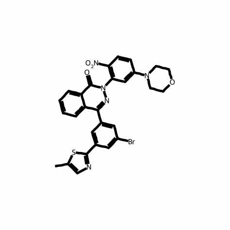 Cc1cnc(-c2cc(Br)cc(-c3nn(-c4cc(N5CCOCC5)ccc4[N+](=O)[O-])c(=O)c4ccccc34)c2)s1